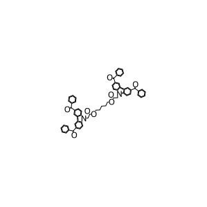 O=C(Cn1c2ccc(C(=O)c3ccccc3)cc2c2cc(C(=O)c3ccccc3)ccc21)OCCCCCOC(=O)Cn1c2ccc(C(=O)c3ccccc3)cc2c2cc(C(=O)c3ccccc3)ccc21